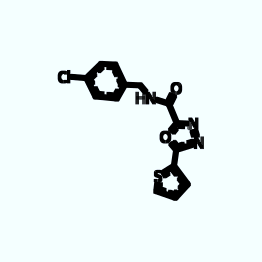 O=C(NCc1ccc(Cl)cc1)c1nnc(-c2cccs2)o1